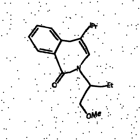 CCC(COC)n1cc(C(C)C)c2ccccc2c1=O